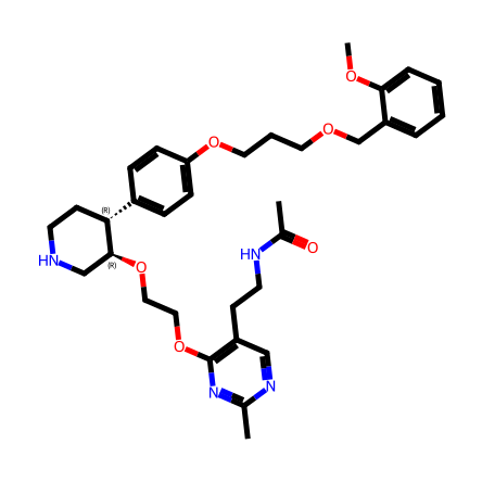 COc1ccccc1COCCCOc1ccc([C@H]2CCNC[C@@H]2OCCOc2nc(C)ncc2CCNC(C)=O)cc1